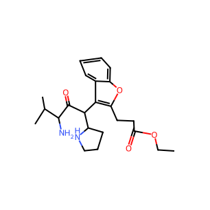 CCOC(=O)CCc1oc2ccccc2c1C(C(=O)C(N)C(C)C)C1CCCN1